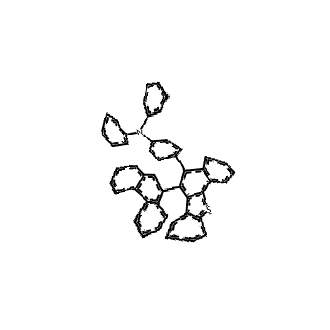 c1ccc(N(c2ccccc2)c2ccc(-c3c(-c4cc5ccccc5c5ccccc45)c4c5ccccc5sc4c4ccccc34)cc2)cc1